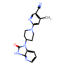 Cc1cc(N2CCC(n3c(=O)[nH]c4ncccc43)CC2)ncc1C#N